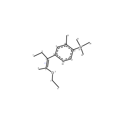 CCO/C(C)=C(/CC)c1cc(C)c([Si](C)(C)C)cn1